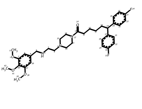 COc1cc(CNCCN2CCN(C(=O)CCCCC(c3ccc(F)cc3)c3ccc(F)cc3)CC2)cc(OC)c1OC